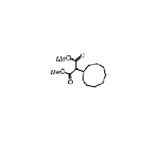 COC(=O)C(C(=O)OC)C1CCCCCCCC1